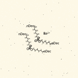 CCCCCCCCCCCCCCCCOP([O-])OCCCCCCCCCCCCCCCC.CCCCCCCCCCCCCCCCOP([O-])OCCCCCCCCCCCCCCCC.[Ba+2]